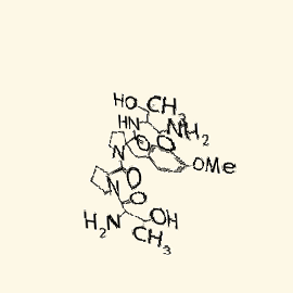 COc1ccc(CC2(C(=O)NC(C(N)=O)[C@@H](C)O)CCCN2C(=O)[C@@H]2CCCN2C(=O)C(N)[C@@H](C)O)cc1